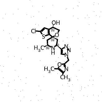 Cc1nc(Cn2cc([C@@H]3C[C@]4(C[C@H](C)N3)OC[C@@H](O)c3cc(Cl)sc34)nn2)oc1C